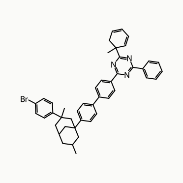 CC1CC2CC(C)(c3ccc(Br)cc3)CC(c3ccc(-c4ccc(-c5nc(-c6ccccc6)nc(C6(C)C=CC=CC6)n5)cc4)cc3)(C1)C2